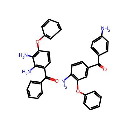 Nc1c(Oc2ccccc2)ccc(C(=O)c2ccccc2)c1N.Nc1ccc(C(=O)c2ccc(N)c(Oc3ccccc3)c2)cc1